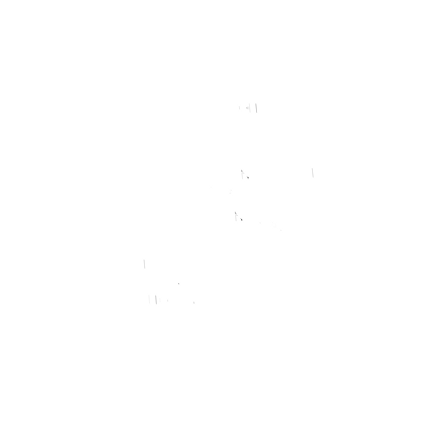 CCCCN(C(=O)N(CCO)CCO)c1ccc(C(O)(C(F)(F)F)C(F)(F)F)cc1